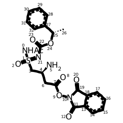 CC(=O)NS(=O)(C[C@@H](N)CC(=O)ON1C(=O)c2ccccc2C1=O)=NC(=O)O[C@@H](C)c1ccccc1